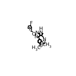 COc1ccc(-c2nc(OCCN3CCC(F)C3)nc3[nH]cc(C#N)c23)cc1OC